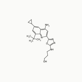 CC(C)(C)c1cc(C2CC2)cc2c(N)cc(-c3nnc(NCCCO)o3)nc12